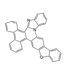 c1ccc2c(c1)nc1c3c4ccccc4c4ccccc4c3c3cc4oc5ccccc5c4cc3n21